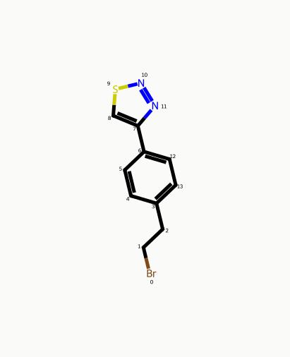 BrCCc1ccc(-c2csnn2)cc1